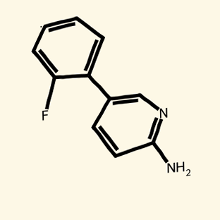 Nc1ccc(-c2cc[c]cc2F)cn1